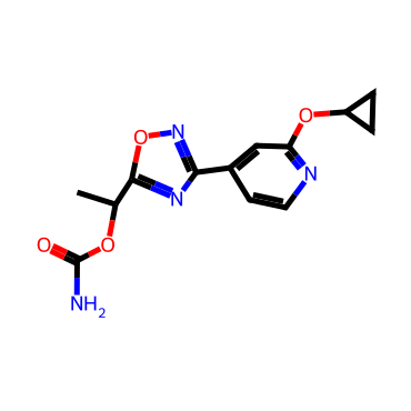 CC(OC(N)=O)c1nc(-c2ccnc(OC3CC3)c2)no1